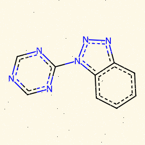 c1ccc2c(c1)nnn2-c1ncncn1